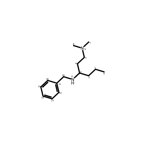 CCC[C](CCN(C)C)NCc1ccccc1